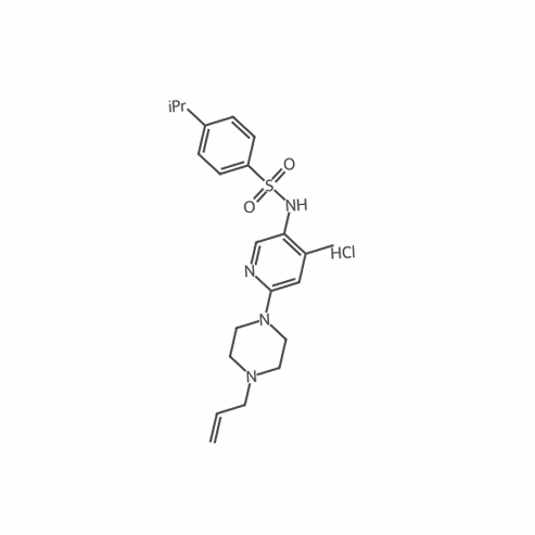 C=CCN1CCN(c2cc(C)c(NS(=O)(=O)c3ccc(C(C)C)cc3)cn2)CC1.Cl